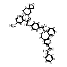 Cc1cnc(N2CCC3(CC2)COC3)c(C(=O)Nc2ccc(C(=O)N3CCc4cc(C(=O)Nc5ccccc5)sc4-c4ncccc43)cc2)c1